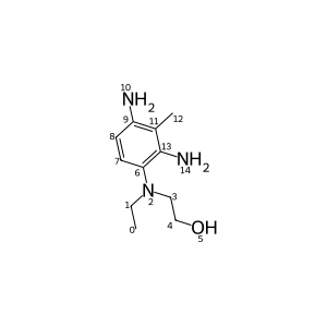 CCN(CCO)c1ccc(N)c(C)c1N